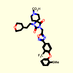 CSc1ccccc1Oc1ccc(-c2noc(CN3C(=O)N(CCC4CCOCC4)C4(CCN(C(=O)O)CC4)C3=O)n2)cc1C(F)(F)F